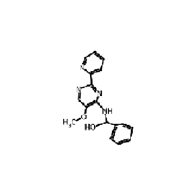 COc1cnc(-c2ccccn2)nc1NC(O)c1ccccc1